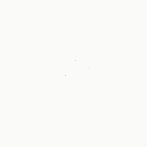 CCS[C@@H]1O[C@H](COCc2ccc(OC)cc2)[C@H](OCCC(C(=O)OC(C)(C)C)C(=O)OC(C)(C)C)[C@H](OCc2ccc(OC)cc2)[C@H]1OCc1ccc(OC)cc1